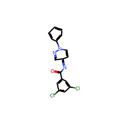 O=C(N=c1ccn(-c2ccccc2)nc1)c1cc(Cl)cc(Cl)c1